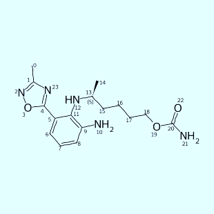 Cc1noc(-c2cccc(N)c2N[C@@H](C)CCCCOC(N)=O)n1